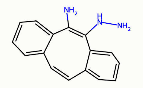 NN/C1=C(\N)c2ccccc2/C=C\c2ccccc21